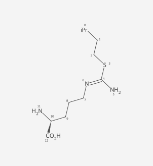 CC(C)CCSC(N)=NCCC[C@H](N)C(=O)O